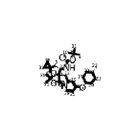 CC1(C[C@H](NC(=O)OC(C)(C)C)[C@@]2(Cc3cc(O[C@H]4CC[C@H](C)CC4)ccn3)OC(C)(C)OC2=O)CC1